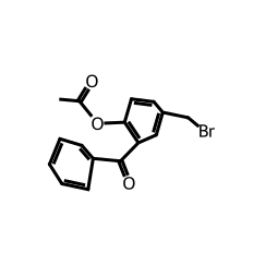 CC(=O)Oc1ccc(CBr)cc1C(=O)c1ccccc1